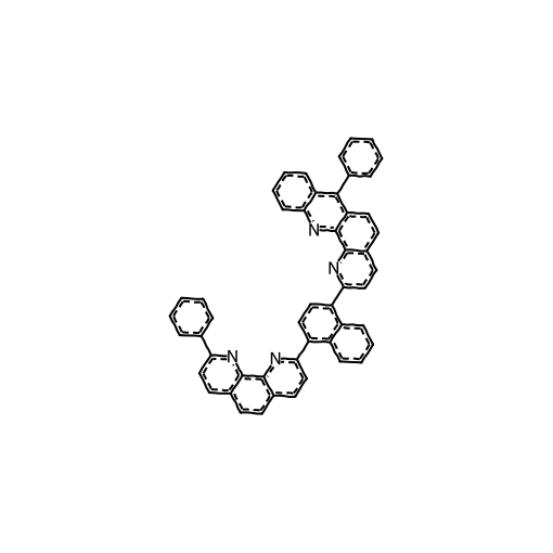 c1ccc(-c2ccc3ccc4ccc(-c5ccc(-c6ccc7ccc8c(-c9ccccc9)c9ccccc9nc8c7n6)c6ccccc56)nc4c3n2)cc1